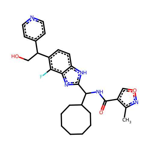 Cc1nocc1C(=O)NC(c1nc2c(F)c(C(CO)c3ccncc3)ccc2[nH]1)C1CCCCCCC1